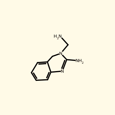 NCN1Cc2ccccc2N=C1N